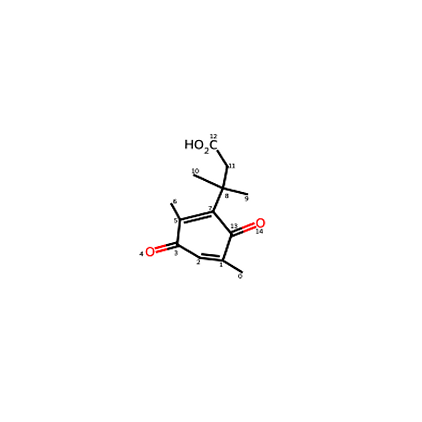 CC1=CC(=O)C(C)=C(C(C)(C)CC(=O)O)C1=O